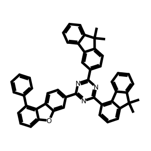 CC1(C)c2ccccc2-c2cc(-c3nc(-c4ccc5c(c4)oc4cccc(-c6ccccc6)c45)nc(-c4cccc5c4-c4ccccc4C5(C)C)n3)ccc21